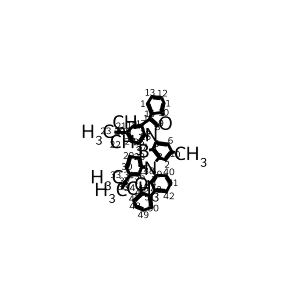 Cc1cc2c3c(c1)-n1c4oc5ccccc5c4c4cc(C(C)(C)C)cc(c41)B3c1ccc(C(C)(C)C)cc1N2c1cccc2c1oc1ccccc12